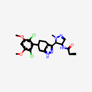 C=CC(=O)NC1C=NN(C)C1c1n[nH]c2c1CCC(c1c(Cl)c(OC)cc(OC)c1Cl)C2